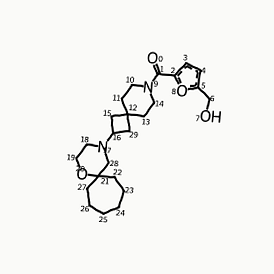 O=C(c1ccc(CO)o1)N1CCC2(CC1)CC(N1CCOC3(CCCCCC3)C1)C2